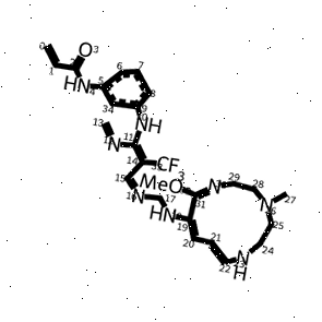 C=CC(=O)Nc1cccc(N/C(N=C)=C(/C=N\CNC2=C/C=C/NCCN(C)CC/N=C\2OC)C(F)(F)F)c1